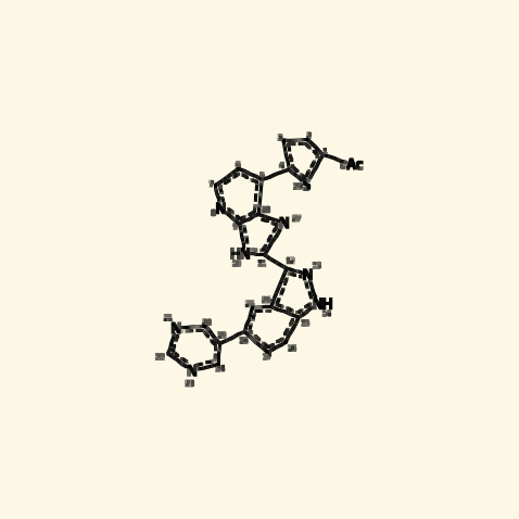 CC(=O)c1ccc(-c2ccnc3[nH]c(-c4n[nH]c5ccc(-c6cncnc6)cc45)nc23)s1